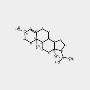 CC(O)C1CCC2C3CCC4=C[C@@H](O)CCC4(C)C3CCC12C